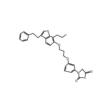 CCCc1c(OCCCOc2cccc(N3CC(=O)SC3=O)c2)ccc2c(CCc3ccccc3)csc12